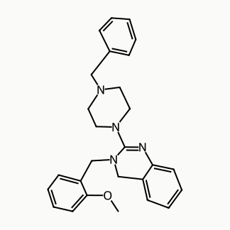 COc1ccccc1CN1Cc2ccccc2N=C1N1CCN(Cc2ccccc2)CC1